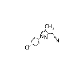 Cc1cn(-c2ccc(Cl)cc2)nc1CC#N